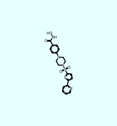 O=C(NO)c1ccc(N2CCN(S(=O)(=O)c3ccc(-c4ccccn4)s3)CC2)cc1